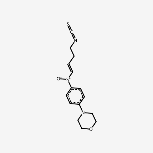 [O-][S+](/C=C/CCN=C=S)c1ccc(N2CCOCC2)cc1